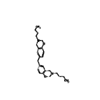 CCCCN1COc2ccc(Cc3ccc4c(c3)CN(CCCC)CO4)cc2C1